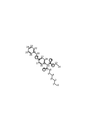 CCCCCCCC(=O)C(C(=O)OCC)c1ccc(OCc2ccccc2)cc1